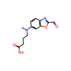 CN(CCCC(=O)O)c1ccc2nc(C=O)oc2c1